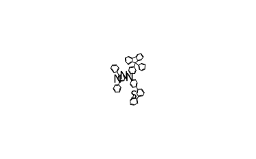 c1ccc(-c2cc(N(c3ccc(-c4cccc5c4sc4ccccc45)cc3)c3ccc(C4(c5ccccc5)c5ccccc5-c5ccccc54)cc3)nc(-c3ccccc3)n2)cc1